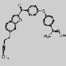 CC#CCCc1ccc2cc(C(=O)c3ccc(Sc4ccc(C(C)=NOC(C)=O)cc4)cc3)oc2c1